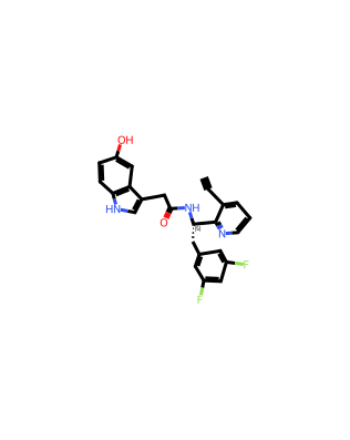 C#Cc1cccnc1[C@H](Cc1cc(F)cc(F)c1)NC(=O)Cc1c[nH]c2ccc(O)cc12